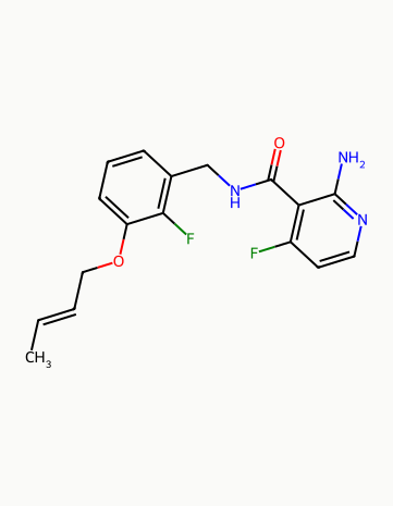 CC=CCOc1cccc(CNC(=O)c2c(F)ccnc2N)c1F